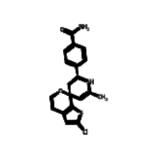 CC1=C[C@@]2(C[C@@H](c3ccc(C(N)=O)cc3)N1)OCCc1cc(Cl)sc12